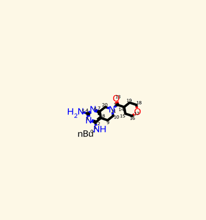 CCCCNc1nc(N)nc2c1CCN(C(=O)C1CCOCC1)C2